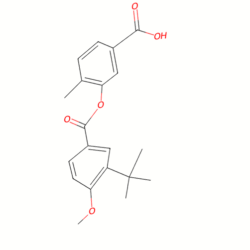 COc1ccc(C(=O)Oc2cc(C(=O)O)ccc2C)cc1C(C)(C)C